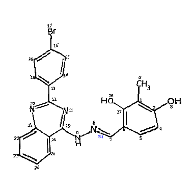 Cc1c(O)ccc(/C=N/Nc2nc(-c3ccc(Br)cc3)nc3ccccc23)c1O